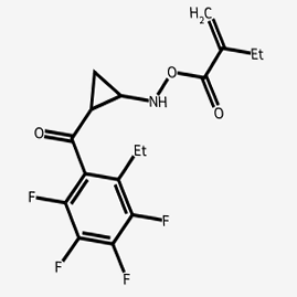 C=C(CC)C(=O)ONC1CC1C(=O)c1c(F)c(F)c(F)c(F)c1CC